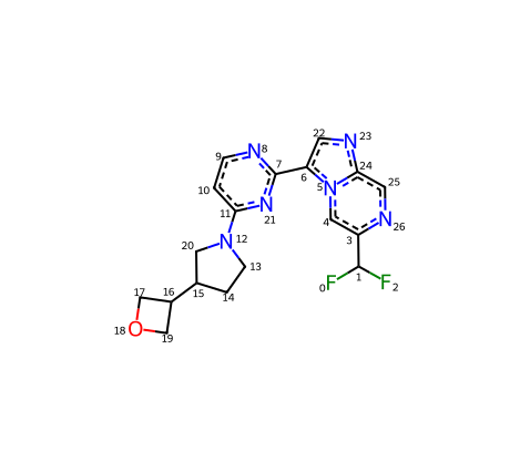 FC(F)c1cn2c(-c3nccc(N4CCC(C5COC5)C4)n3)cnc2cn1